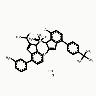 CC1=Cc2c(-c3ccc(C(C)(C)C)cc3)ccc(C)c2[CH]1[Zr]([CH3])([CH3])(=[SiH2])[CH]1C(C(C)C)=Cc2c(-c3cccc(C)c3)cccc21.Cl.Cl